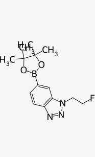 CC1(C)OB(c2ccc3nnn(CCF)c3c2)OC1(C)C